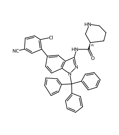 N#Cc1ccc(Cl)c(-c2ccc3c(c2)c(NC(=O)[C@@H]2CCCNC2)nn3C(c2ccccc2)(c2ccccc2)c2ccccc2)c1